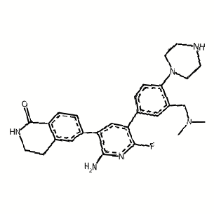 CN(C)Cc1cc(-c2cc(-c3ccc4c(c3)CCNC4=O)c(N)nc2F)ccc1N1CCNCC1